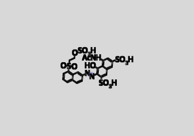 CC(=O)Nc1cc(S(=O)(=O)O)cc2cc(S(=O)(=O)O)c(/N=N/c3ccc4cccc(S(=O)(=O)CCOS(=O)(=O)O)c4c3)c(O)c12